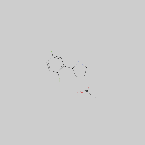 CC(C)(C)C(=O)O[C@H]1CNC(c2cc(F)ccc2F)C1